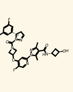 Cc1nn(-c2cc(OC3CN(C(=O)N4N=CC[C@H]4c4cc(F)cc(F)c4)C3)c(F)cn2)c(C)c1C(=O)N[C@H]1C[C@H](O)C1